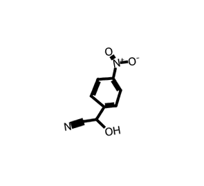 N#CC(O)c1ccc([N+](=O)[O-])cc1